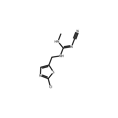 CN/C(=N\C#N)NCc1cnc(Cl)s1